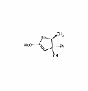 COC1=C[C@@](C)(C(C)C)[C@H](C)N1